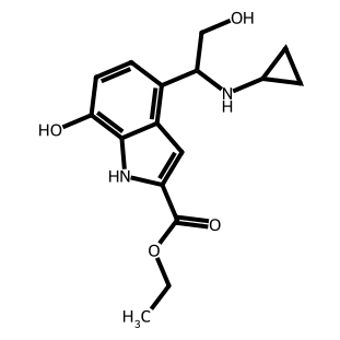 CCOC(=O)c1cc2c(C(CO)NC3CC3)ccc(O)c2[nH]1